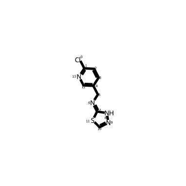 Clc1ccc(C/N=c2\[nH]ncs2)cn1